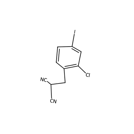 N#CC(C#N)Cc1ccc(I)cc1Cl